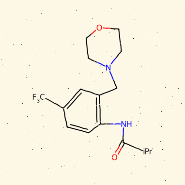 CC(C)C(=O)Nc1ccc(C(F)(F)F)cc1CN1CCOCC1